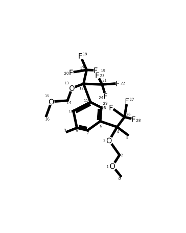 COCOC(C)(c1cc(C)cc(C(OCOC)(C(F)(F)F)C(F)(F)F)c1)C(F)(F)F